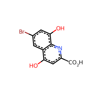 O=C(O)c1cc(O)c2cc(Br)cc(O)c2n1